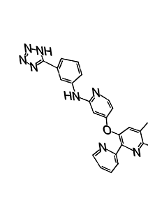 Cc1cc(Oc2ccnc(Nc3cccc(-c4nnn[nH]4)c3)c2)c(-c2ccccn2)nc1C